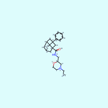 CC(C)CN1CCOC(CNC(=O)C23CC4CC5CC(c6ccccc6)(C2)C53C4)C1